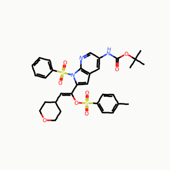 Cc1ccc(S(=O)(=O)OC(=CC2CCOCC2)c2cc3cc(NC(=O)OC(C)(C)C)cnc3n2S(=O)(=O)c2ccccc2)cc1